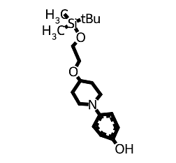 CC(C)(C)[Si](C)(C)OCCOC1CCN(c2ccc(O)cc2)CC1